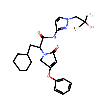 CC(C)(O)Cn1ccc(NC(=O)C(CC2CCCCC2)N2CC(Oc3ccccc3)=CC2=O)n1